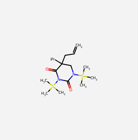 C=CCC1(C(C)C)CN(S(C)(C)C)C(=O)N(S(C)(C)C)C1=O